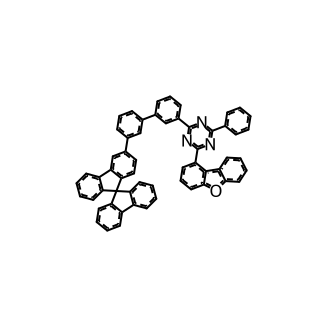 c1ccc(-c2nc(-c3cccc(-c4cccc(-c5ccc6c(c5)-c5ccccc5C65c6ccccc6-c6ccccc65)c4)c3)nc(-c3cccc4oc5ccccc5c34)n2)cc1